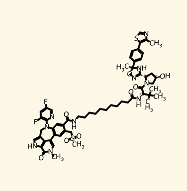 Cc1ncsc1-c1ccc([C@]2(C)NC([C@@H]3C[C@@H](O)CN3C(=O)[C@@H](NC(=O)CCCCCCCCCCNC(=O)c3cc4c(cc3CS(C)(=O)=O)-c3cn(C)c(=O)c5[nH]cc(c35)CN4c3ncc(F)cc3F)C(C)(C)C)=NO2)cc1